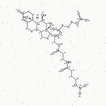 C[C@]12CCC(=O)C=C1CCC1C3CC[C@](OC(=O)CCCO[N+](=O)[O-])(C(=O)COC(=O)CCNC(=O)CCCO[N+](=O)[O-])[C@@]3(C)C[C@H](O)[C@@H]12